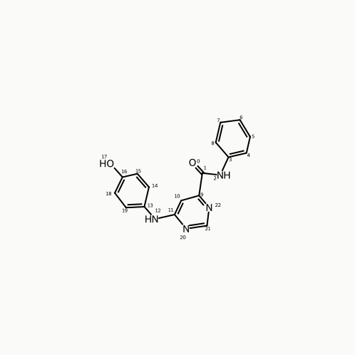 O=C(Nc1ccccc1)c1cc(Nc2ccc(O)cc2)ncn1